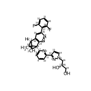 CC1(C)[C@H]2CC[C@]1(c1cccc(-c3ccn(C[C@@H](O)CO)n3)n1)c1nnc(-c3c(F)cccc3F)cc12